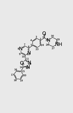 O=C(c1ccc(-c2cncc(-c3nnc(-c4ccccc4)o3)n2)cc1)N1CCNCC1